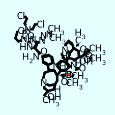 CC[C@]1(O)C[C@@H]2CN(CCc3c([nH]c4ccccc34)[C@@](C(=O)OC)(c3ccc4c(c3OC)N(C=O)[C@H]3[C@@](O)(C(=O)OC)[C@H](OC(C)=O)[C@]5(CC)C=CCN6CC[C@]43[C@@H]65)C2)C1.CN(C)/N=N/c1nc[nH]c1C(N)=O.O=P1(N(CCCl)CCCl)NCCCO1